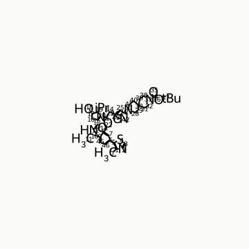 Cc1ncsc1-c1ccc([C@H](C)NC(=O)[C@@H]2C[C@@H](O)CN2C(=O)C(c2cc(N3CCC4(CCN(C(=O)OC(C)(C)C)CC4)CC3)no2)C(C)C)cc1